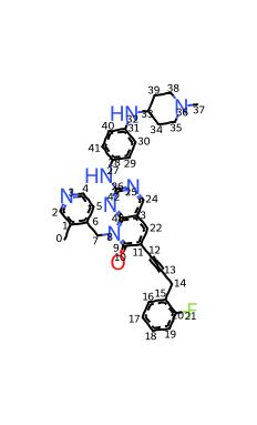 Cc1cnccc1Cn1c(=O)c(C#CCc2ccccc2F)cc2cnc(Nc3ccc(NC4CCN(C)CC4)cc3)nc21